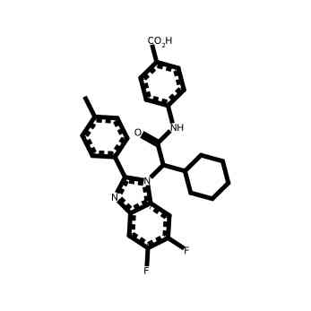 Cc1ccc(-c2nc3cc(F)c(F)cc3n2C(C(=O)Nc2ccc(C(=O)O)cc2)C2CCCCC2)cc1